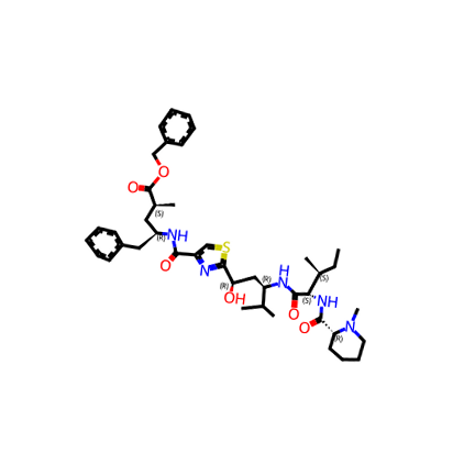 CC[C@H](C)[C@H](NC(=O)[C@H]1CCCCN1C)C(=O)N[C@H](C[C@@H](O)c1nc(C(=O)N[C@@H](Cc2ccccc2)C[C@H](C)C(=O)OCc2ccccc2)cs1)C(C)C